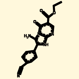 CCOC(=O)c1cnc2[nH]c(-c3ccc(C#N)cc3)c(N)n2c1=O